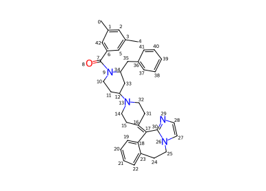 Cc1cc(C)cc(C(=O)N2CCC(N3CCC(=C4c5ccccc5CCn5ccnc54)CC3)CC2Cc2ccccc2)c1